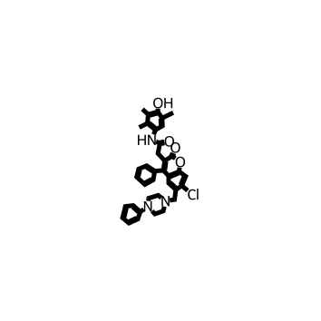 Cc1cc(NC(=O)Cc2c(-c3ccccc3)c3cc(CN4CCN(c5ccccc5)CC4)c(Cl)cc3oc2=O)c(C)c(C)c1O